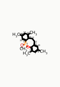 COP1Oc2c(C)cc(C)cc2CCc2c(C)cc(C)cc21